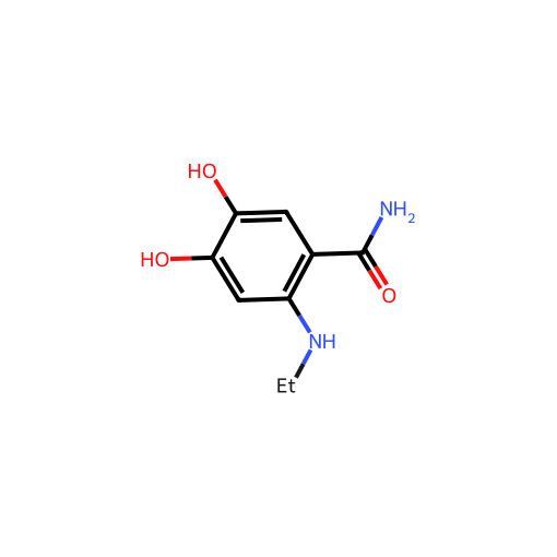 CCNc1cc(O)c(O)cc1C(N)=O